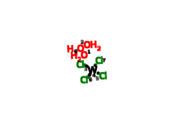 O.O.O.[Cl][W]([Cl])([Cl])[Cl]